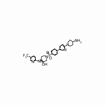 NC1CCN(c2ccc(-c3ccc(S(=O)(=O)N4CC[C@@H](Nc5ccc(C(F)(F)F)cn5)[C@@H](O)C4)cc3)cn2)CC1